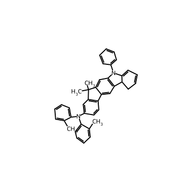 Cc1ccccc1N(c1ccc2c(c1)C(C)(C)c1cc3c(cc1-2)C1CC=CC=C1N3c1ccccc1)c1ccccc1C